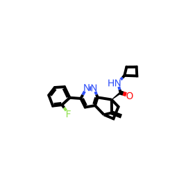 C=C1C2CC[C@@]1(C(=O)NC1CCC1)c1nnc(-c3ccccc3F)cc12